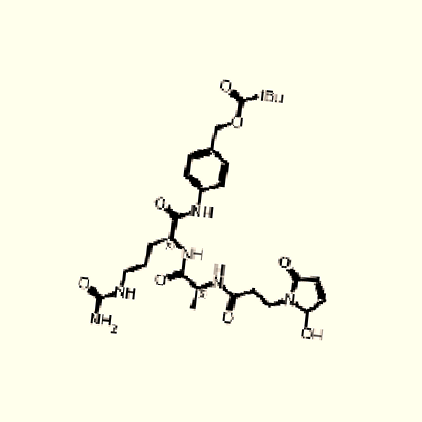 C[C@H](NC(=O)CCN1C(=O)C=CC1O)C(=O)N[C@@H](CCCNC(N)=O)C(=O)Nc1ccc(COC(=O)C(C)(C)C)cc1